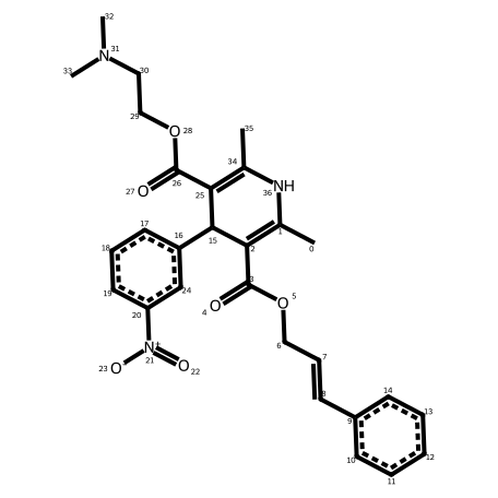 CC1=C(C(=O)OC/C=C/c2ccccc2)C(c2cccc([N+](=O)[O-])c2)C(C(=O)OCCN(C)C)=C(C)N1